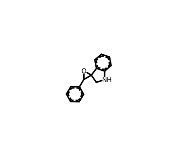 c1ccc(C2OC23CNc2ccccc23)cc1